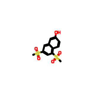 CS(=O)(=O)c1cc(S(C)(=O)=O)c2ccc(O)cc2c1